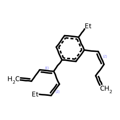 C=C/C=C\c1cc(C(/C=C\CC)=C/C=C)ccc1CC